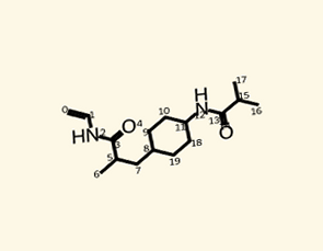 C=CNC(=O)C(C)CC1CCC(NC(=O)C(C)C)CC1